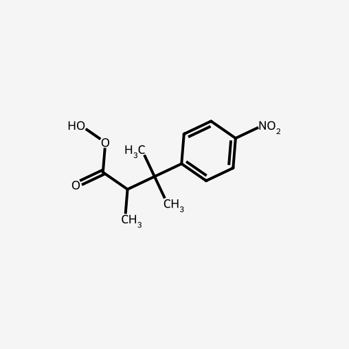 CC(C(=O)OO)C(C)(C)c1ccc([N+](=O)[O-])cc1